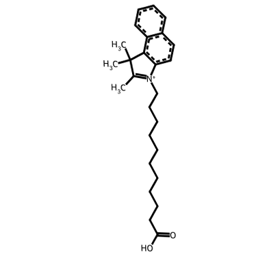 CC1=[N+](CCCCCCCCCCC(=O)O)c2ccc3ccccc3c2C1(C)C